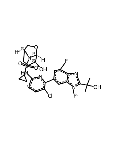 CC(C)n1c(C(C)(C)O)nc2c(F)cc(-c3nc(N[C@@H]4C[C@H]5CO[C@@H]([C@H]4O)N5S(=O)(=O)C4CC4)ncc3Cl)cc21